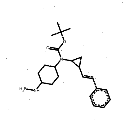 BNC1CCC(N(C(=O)OC(C)(C)C)C2CC2/C=C/c2ccccc2)CC1